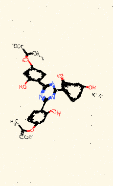 CC(Oc1ccc(-c2nc(-c3ccc(O)cc3O)nc(-c3ccc(OC(C)C(=O)[O-])cc3O)n2)c(O)c1)C(=O)[O-].[K+].[K+]